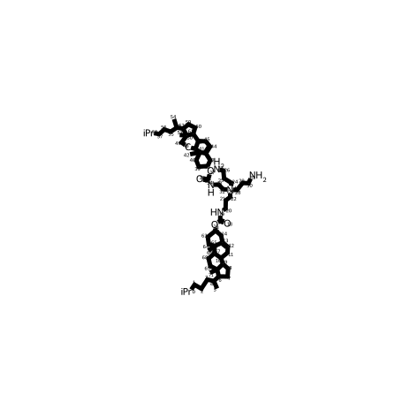 CC(C)CCCC(C)C1CCC2C3CC=C4CC(OC(=O)NCCC[N+](CCCN)(CCCN)CCNC(=O)OC5CCC6(C)C(=CCC7C6CCC6(C)C(C(C)CCCC(C)C)CCC76)C5)CCC4(C)C3CCC12C